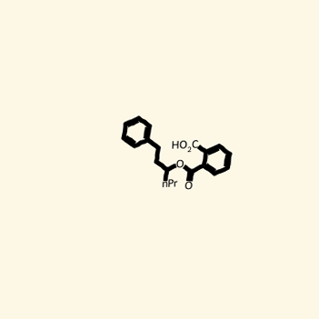 CCCC(CCc1ccccc1)OC(=O)c1ccccc1C(=O)O